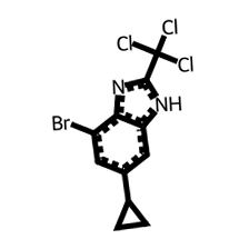 ClC(Cl)(Cl)c1nc2c(Br)cc(C3CC3)cc2[nH]1